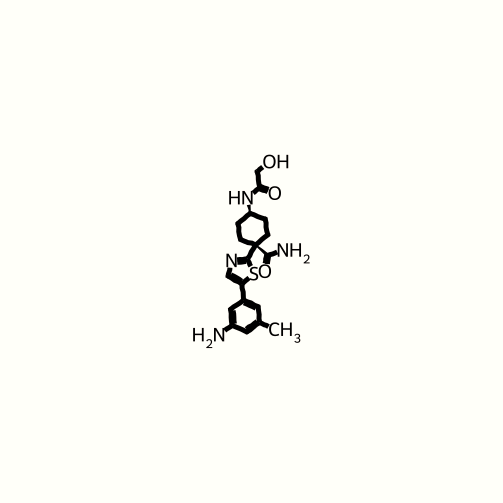 Cc1cc(N)cc(-c2cnc([C@]3(C(N)=O)CC[C@@H](NC(=O)CO)CC3)s2)c1